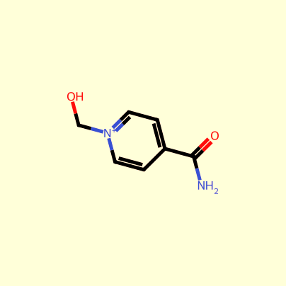 NC(=O)c1cc[n+](CO)cc1